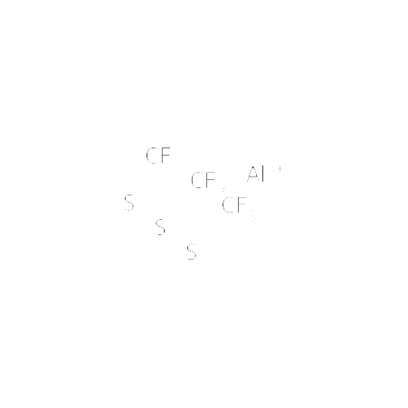 FC(F)(F)[S-].FC(F)(F)[S-].FC(F)(F)[S-].[Al+3]